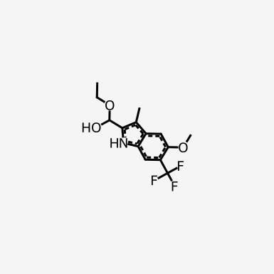 CCOC(O)c1[nH]c2cc(C(F)(F)F)c(OC)cc2c1C